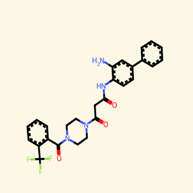 Nc1cc(-c2ccccc2)ccc1NC(=O)CC(=O)N1CCN(C(=O)c2ccccc2C(F)(F)F)CC1